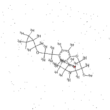 [2H]OC([2H])(C([2H])([2H])Oc1c([2H])c([2H])c(C([2H])([2H])C([2H])([2H])OC([2H])([2H])C2([2H])C([2H])([2H])C2([2H])C)c([2H])c1[2H])C([2H])([2H])N([2H])C([2H])(C([2H])([2H])[2H])C([2H])([2H])[2H]